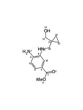 COC(=O)c1ccc(N)c(NCC2(CO)CC2)c1